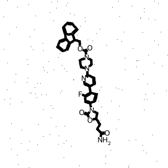 NC(=O)CCC1CN(c2ccc(-c3ccc(N4CCN(C(=O)OCC5c6ccccc6-c6ccccc65)CC4)nc3)c(F)c2)C(=O)O1